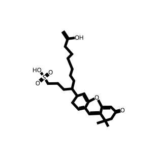 C=C(O)CCCCCCC(CCCS(=O)(=O)O)C1C=C2OC3=CC(=O)CC(C)(C)C3=CC2=CC1